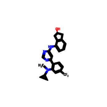 CN(c1cc(C(F)(F)F)ccc1-c1cc(Nc2cccc3c2C[C@H](O)C3)ncn1)C1CC1